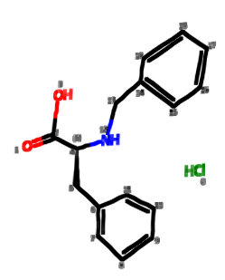 Cl.O=C(O)[C@H](Cc1ccccc1)NCc1ccccc1